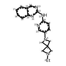 CCN1CC2(C1)CN(c1ccc(Nc3ncc4ccccc4n3)nc1)C2